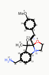 COc1ccc(/C=C/C23OCCN2c2ccc(CN)cc2C3(C)C)cc1